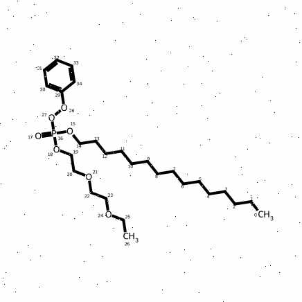 CCCCCCCCCCCCCCCOP(=O)(OCCOCCOCC)OOc1ccccc1